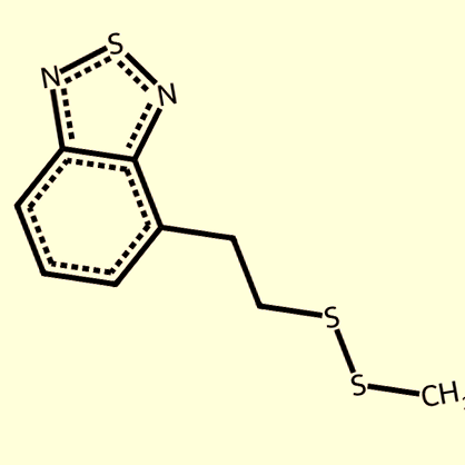 CSSCCc1cccc2nsnc12